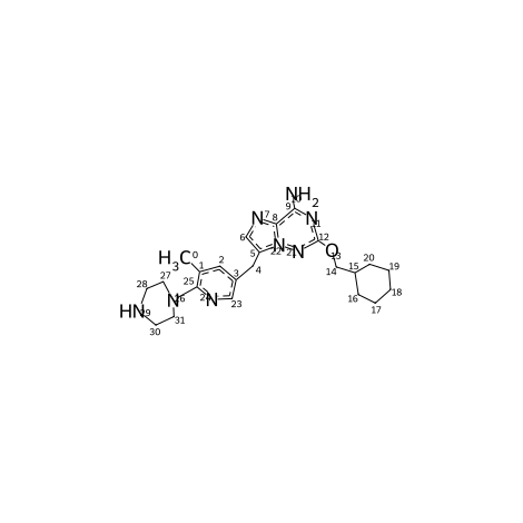 Cc1cc(Cc2cnc3c(N)nc(OCC4CCCCC4)nn23)cnc1N1CCNCC1